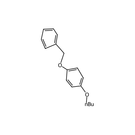 CCCCOc1ccc(OCc2ccccc2)cc1